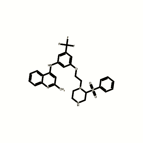 Cc1cc(Nc2cc(OCCN3CCNCC3S(=O)(=O)c3ccccc3)cc(C(F)(F)F)c2)c2ccccc2n1